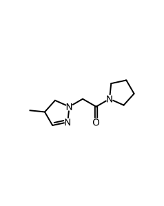 CC1C=NN(CC(=O)N2CCCC2)C1